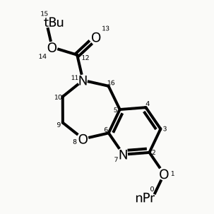 CCCOc1ccc2c(n1)OCCN(C(=O)OC(C)(C)C)C2